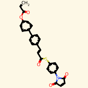 C=CC(=O)Oc1ccc(-c2ccc(/C=C/C(=O)Sc3ccc(N4C(=O)C=CC4=O)cc3)cc2)cc1